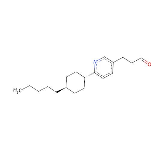 CCCCC[C@H]1CC[C@H](c2ccc(CCC=O)cn2)CC1